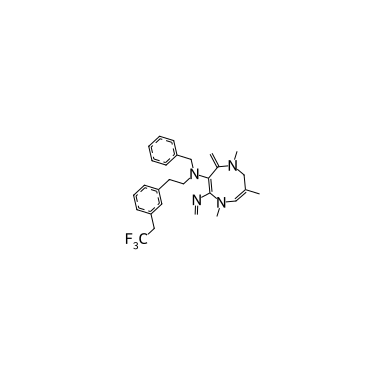 C=N/C1=C(\N(CCc2cccc(CC(F)(F)F)c2)Cc2ccccc2)C(=C)N(C)C/C(C)=C\N1C